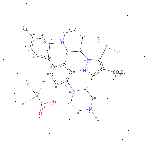 CCOC(=O)c1cnn(C2CCCN(c3cc(Cl)ccc3-c3ccc(N4CCN(CC)CC4)cc3)C2)c1C(F)F.O=C(O)C(F)(F)F